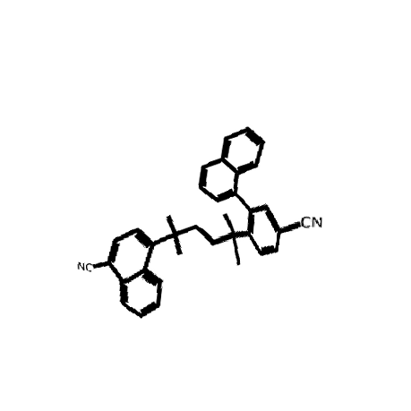 CC(C)(CCC(C)(C)c1ccc(C#N)c2ccccc12)c1ccc(C#N)cc1-c1cccc2ccccc12